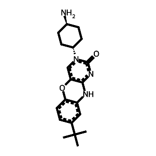 CC(C)(C)c1ccc2c(c1)Nc1nc(=O)n([C@H]3CC[C@H](N)CC3)cc1O2